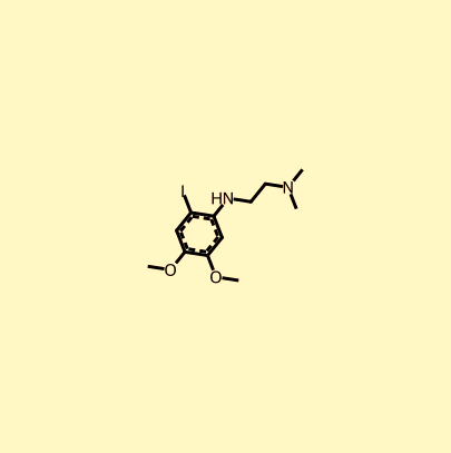 COc1cc(I)c(NCCN(C)C)cc1OC